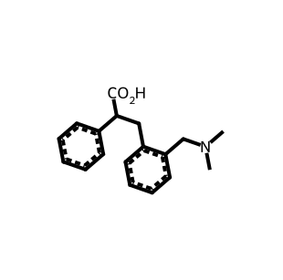 CN(C)Cc1ccccc1CC(C(=O)O)c1ccccc1